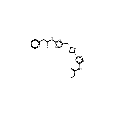 CCC(=O)Nc1nnc([C@H]2C[C@@H](Cc3nnc(NC(=O)Cc4ccccn4)s3)C2)s1